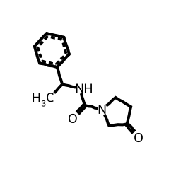 CC(NC(=O)N1CCC(=O)C1)c1ccccc1